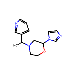 N#CC(c1cccnc1)N1CCOC(n2ccnc2)C1